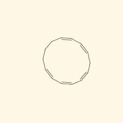 C1=CC=CCCCC=CC=CCC=C1